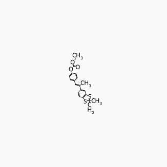 CCOC(=O)Oc1ccc(/C=C(\C)c2ccc3c(c2)SC(C)(C)S3)cc1